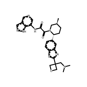 C[C@H]1CC[C@H](c2ccc3sc(C4(CN(C)C)COC4)nc3c2)N(C(=O)C(=O)Nc2cncc3cn[nH]c23)C1